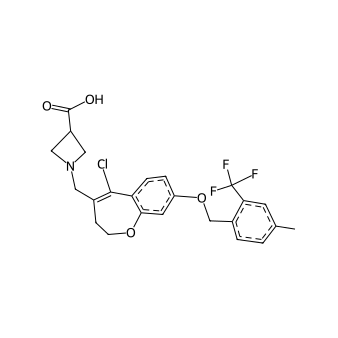 Cc1ccc(COc2ccc3c(c2)OCCC(CN2CC(C(=O)O)C2)=C3Cl)c(C(F)(F)F)c1